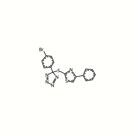 Brc1ccc(C2(Sc3nc(-c4ccccc4)cs3)N=NN=N2)cc1